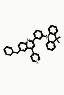 CC1(C)c2ccccc2N(c2cccc(-c3cc(-c4ccncc4)c4cc(CC5C=CC=CC5)ccc4n3)c2)c2ccccc21